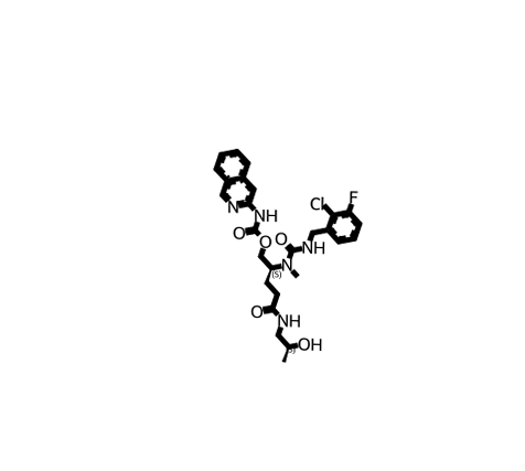 C[C@H](O)CNC(=O)CC[C@@H](COC(=O)Nc1cc2ccccc2cn1)N(C)C(=O)NCc1cccc(F)c1Cl